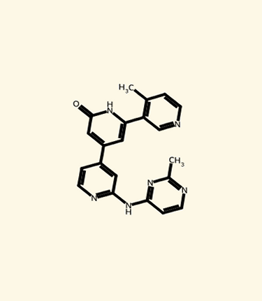 Cc1nccc(Nc2cc(-c3cc(-c4cnccc4C)[nH]c(=O)c3)ccn2)n1